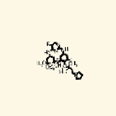 CC1(C)CC(Nc2nc(Nc3cc(F)c(OC(C)(C)CCN4CCCC4)c(F)c3)ncc2F)CC(C)(C)N1